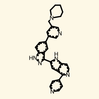 c1cc(-c2nccc3[nH]c(-c4n[nH]c5ccc(-c6cncc(CN7CCCCC7)c6)cc45)cc23)ccn1